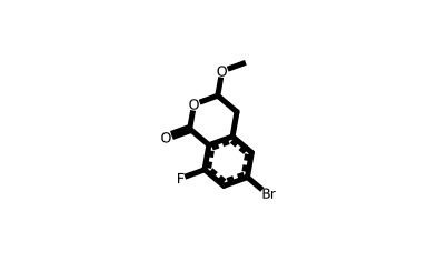 COC1Cc2cc(Br)cc(F)c2C(=O)O1